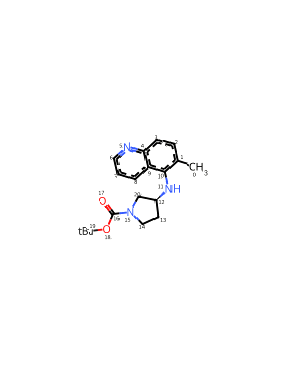 Cc1ccc2ncccc2c1N[C@H]1CCN(C(=O)OC(C)(C)C)C1